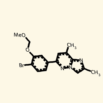 COCOc1cc(-c2cc(C)c3nc(C)cn3n2)ccc1Br